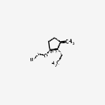 C=C1CC[C@H](OSBr)[C@H]1CC